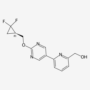 OCc1cccc(-c2cnc(OC[C@H]3CC3(F)F)nc2)n1